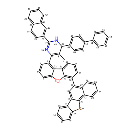 CC1=C(c2cccc3oc4c(-c5cc6c7ccccc7sc6c6ccccc56)cccc4c23)N=C(c2ccc3ccccc3c2)NC1c1ccc(-c2ccccc2)cc1